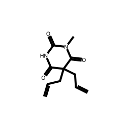 C=CCC1(CC=C)C(=O)NC(=O)N(C)C1=O